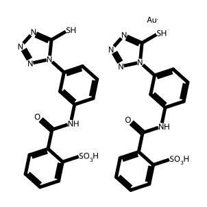 O=C(Nc1cccc(-n2nnnc2S)c1)c1ccccc1S(=O)(=O)O.O=C(Nc1cccc(-n2nnnc2S)c1)c1ccccc1S(=O)(=O)O.[Au]